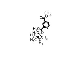 COC(=O)c1ccnc(C(C)O[Si](C)(C)C(C)(C)C)c1